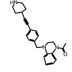 CC(=O)N1CCN(Cc2ccc(C#CC3CCNCC3)cc2)c2ccccc21